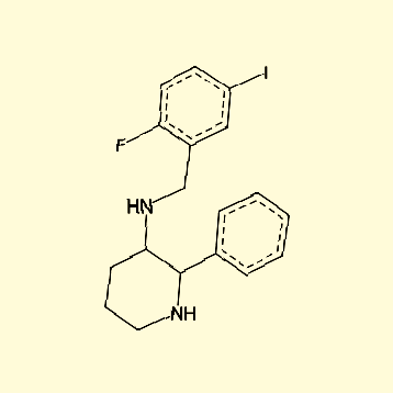 Fc1ccc(I)cc1CNC1CCCNC1c1ccccc1